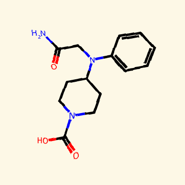 NC(=O)CN(c1ccccc1)C1CCN(C(=O)O)CC1